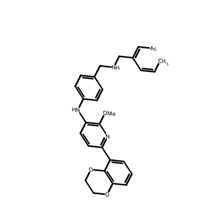 C/C=C\C(=C/C(C)=O)CNCc1ccc(Nc2ccc(-c3cccc4c3OCCO4)nc2OC)cc1